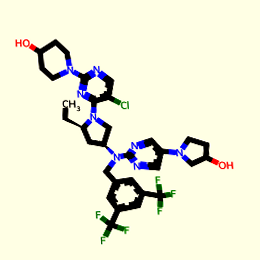 CC[C@@H]1C[C@H](N(Cc2cc(C(F)(F)F)cc(C(F)(F)F)c2)c2ncc(N3CCC(O)C3)cn2)CN1c1nc(N2CCC(O)CC2)ncc1Cl